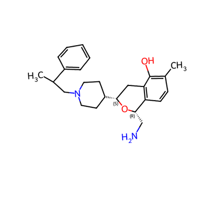 Cc1ccc2c(c1O)C[C@@H](C1CCN(CC(C)c3ccccc3)CC1)O[C@H]2CN